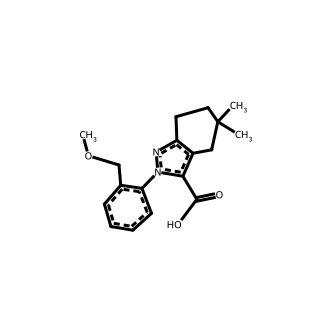 COCc1ccccc1-n1nc2c(c1C(=O)O)CC(C)(C)CC2